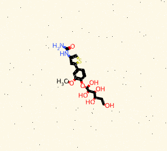 COc1cc(-c2cc(NC(N)=O)cs2)ccc1OC(O)C(O)C(O)C(O)CCO